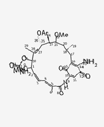 COC1/C=C\C=C(/C)C(=O)NC2=CC(=O)C(N)=C(CC(C)CC(OC)[C@H](OC(C)=O)[C@@H](C)/C=C(\C)C1OC(N)=O)C2=O